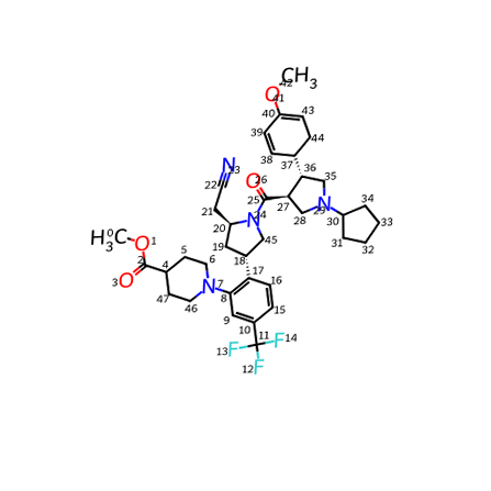 COC(=O)C1CCN(c2cc(C(F)(F)F)ccc2[C@@H]2C[C@@H](CC#N)N(C(=O)[C@@H]3CN(C4CCCC4)C[C@H]3C3C=CC(OC)=CC3)C2)CC1